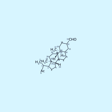 CC(=O)C(C)C1CC[C@H]2[C@@H]3CCC4CC(C=O)CC[C@]4(C)[C@H]3CC[C@]12C